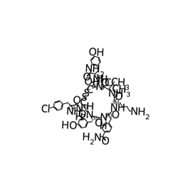 CC(C)(C)C1NC(=O)[C@H](CCCCN)NC(=O)[C@@H](Cc2ccc(C(N)=O)cc2)NC(=O)[C@H](Cc2ccc(O)cc2)NC(=O)[C@H](NC(=O)[C@@H](N)Cc2ccc(Cl)cc2)CSSC[C@@H](C(=O)NC(Cc2ccc(O)cc2)C(N)=O)NC1=O